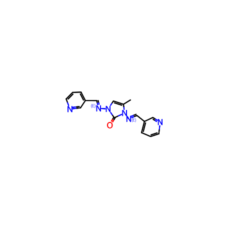 Cc1cn(/N=C/c2cccnc2)c(=O)n1/N=C/c1cccnc1